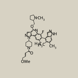 COC/C=C/C(=O)N1CCC(n2ncc3c(OCC4CCCN4C)nc4c(F)c(-c5c(C)c(C)cc6[nH]ncc56)c(C)cc4c32)CC1